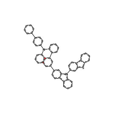 c1ccc(-c2ccc(N(c3ccccc3)c3ccccc3-c3cccc(-c4ccc5c6ccccc6n(-c6ccc7c(c6)sc6ccccc67)c5c4)c3)cc2)cc1